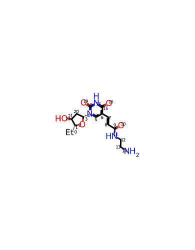 CC[C@H]1O[C@@H](n2cc(/C=C/C(=O)NCCN)c(=O)[nH]c2=O)CC1O